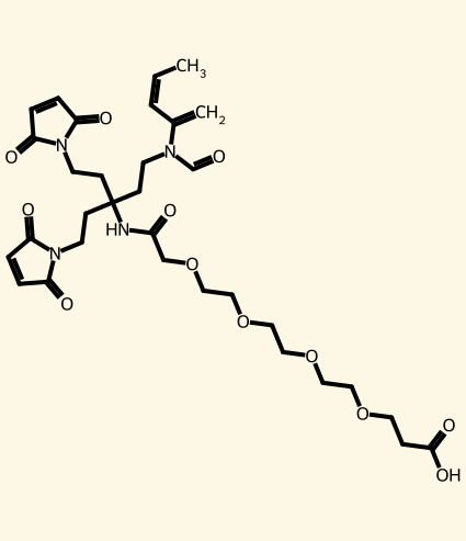 C=C(/C=C\C)N(C=O)CCC(CCN1C(=O)C=CC1=O)(CCN1C(=O)C=CC1=O)NC(=O)COCCOCCOCCOCCC(=O)O